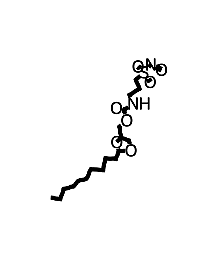 CCCCCCCCCCC1OCC(COC(=O)NCCCS(=O)(=O)N=O)O1